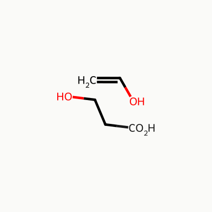 C=CO.O=C(O)CCO